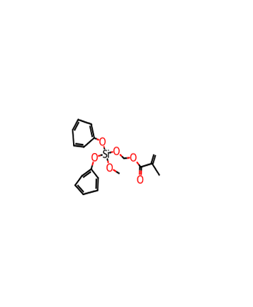 C=C(C)C(=O)OCO[Si](OC)(Oc1ccccc1)Oc1ccccc1